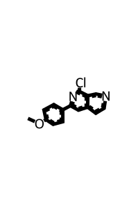 COc1ccc(-c2cc3ccncc3c(Cl)n2)cc1